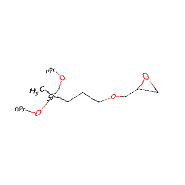 CCCO[Si](C)(CCCOCC1CO1)OCCC